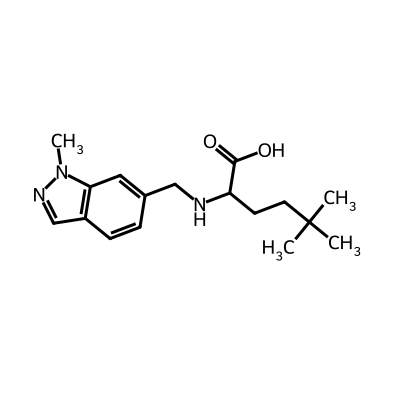 Cn1ncc2ccc(CNC(CCC(C)(C)C)C(=O)O)cc21